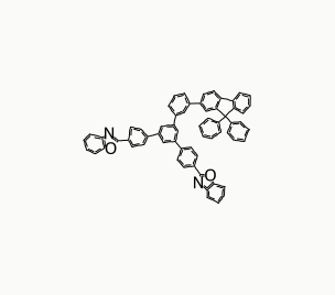 c1ccc(C2(c3ccccc3)c3ccccc3-c3ccc(-c4cccc(-c5cc(-c6ccc(-c7nc8ccccc8o7)cc6)cc(-c6ccc(-c7nc8ccccc8o7)cc6)c5)c4)cc32)cc1